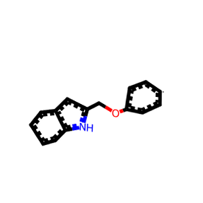 [c]1ccc(OCc2cc3ccccc3[nH]2)cc1